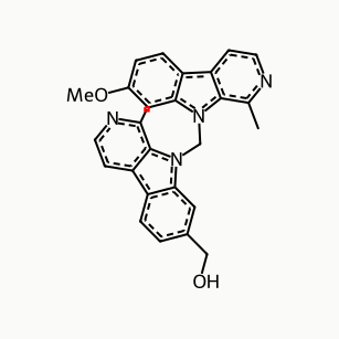 COc1ccc2c3ccnc(C)c3n(Cn3c4cc(CO)ccc4c4ccnc(C)c43)c2c1